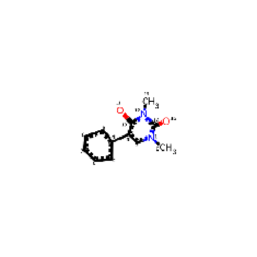 Cn1cc(-c2ccccc2)c(=O)n(C)c1=O